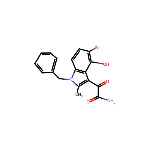 Cc1c(C(=O)C(N)=O)c2c(O)c(Br)ccc2n1Cc1ccccc1